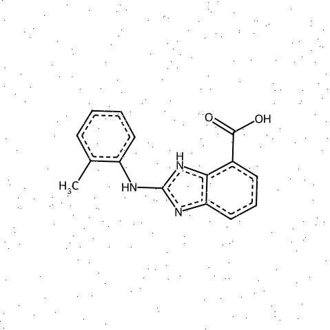 Cc1ccccc1Nc1nc2cccc(C(=O)O)c2[nH]1